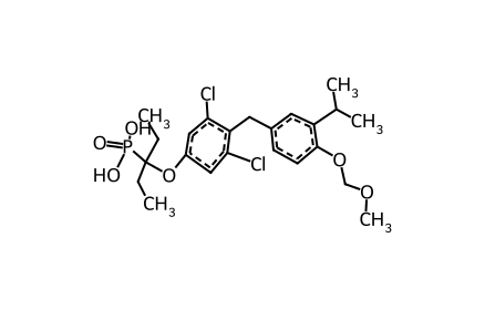 CCC(CC)(Oc1cc(Cl)c(Cc2ccc(OCOC)c(C(C)C)c2)c(Cl)c1)P(=O)(O)O